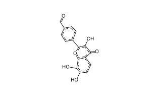 O=Cc1ccc(-c2oc3c(O)c(O)ccc3c(=O)c2O)cc1